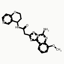 COc1cccc2c1nc(N)n1nc(CC(=O)NC3CCOc4ccncc43)nc21